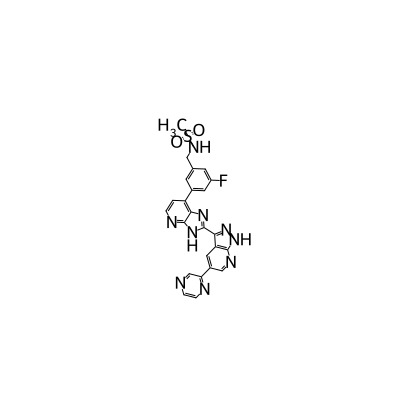 CS(=O)(=O)NCc1cc(F)cc(-c2ccnc3[nH]c(-c4n[nH]c5ncc(-c6cnccn6)cc45)nc23)c1